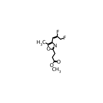 COC(=O)CCc1nc(/C=C(/F)CF)c(C)o1